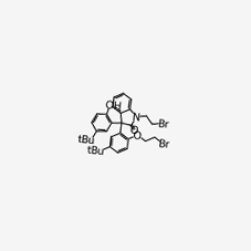 CC(C)(C)c1ccc(O)c(C2(c3cc(C(C)(C)C)ccc3OCCBr)C(=O)N(CCBr)c3ccccc32)c1